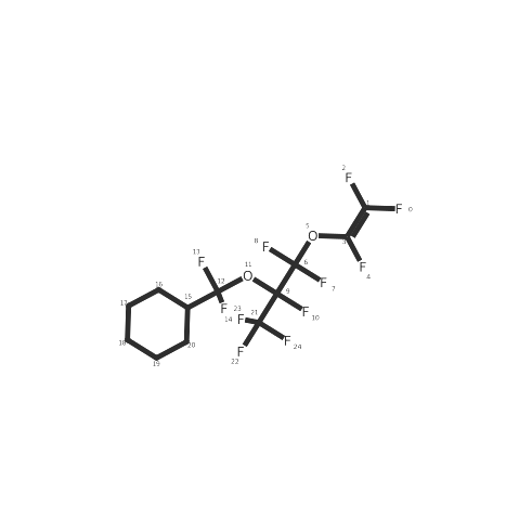 FC(F)=C(F)OC(F)(F)C(F)(OC(F)(F)C1CCCCC1)C(F)(F)F